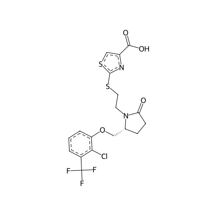 O=C(O)c1csc(SCCN2C(=O)CC[C@@H]2COc2cccc(C(F)(F)F)c2Cl)n1